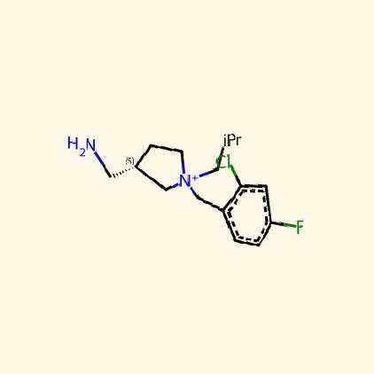 CC(C)C[N+]1(Cc2ccc(F)cc2Cl)CC[C@@H](CN)C1